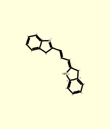 C(=CC1=Nc2ccccc2C1)/C=C1/Cc2ccccc2N1